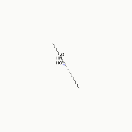 CCCCCCCCCCCCC/C=C/[C@@H](O)CNC(=O)CCCCCCC